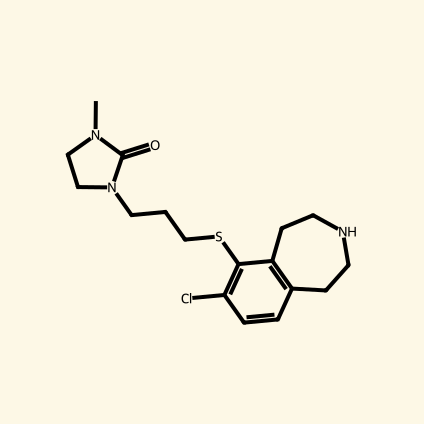 CN1CCN(CCCSc2c(Cl)ccc3c2CCNCC3)C1=O